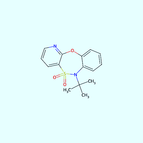 CC(C)(C)N1c2ccccc2Oc2ncccc2S1(=O)=O